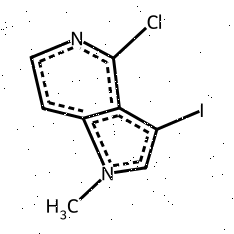 Cn1cc(I)c2c(Cl)nccc21